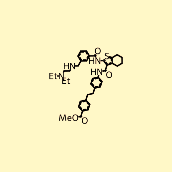 CCN(CC)CCNCc1cccc(C(=O)Nc2sc3c(c2C(=O)Nc2ccc(CCc4ccc(C(=O)OC)cc4)cc2)CCCC3)c1